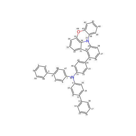 c1ccc(-c2ccc(N(c3ccc(-c4ccccc4)cc3)c3ccc(-c4cccc5c4c4cccc6c4n5-c4ccccc4O6)cc3)cc2)cc1